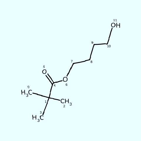 CC(C)(C)C(=O)OCCCCO